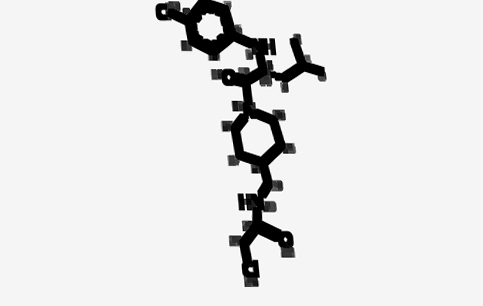 CC(C)C[C@@H](Nc1ccc(Cl)cc1)C(=O)N1CCC(CNC(=O)CCl)CC1